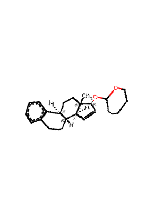 C[C@]12CC[C@@H]3c4ccccc4CC[C@H]3[C@@H]1C=C[C@H]2OC1CCCCO1